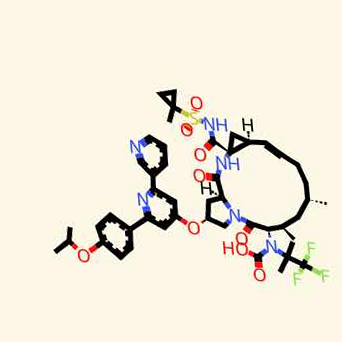 CC(C)Oc1ccc(-c2cc(O[C@@H]3C[C@H]4C(=O)N[C@]5(C(=O)NS(=O)(=O)C6(C)CC6)C[C@H]5/C=C\CC[C@H](C)C[C@@H](C)[C@H](N(C(=O)O)C(C)(C)C(F)(F)F)C(=O)N4C3)cc(-c3cccnc3)n2)cc1